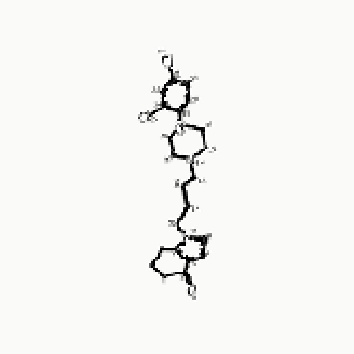 O=C1CCCc2c1ccn2CCCCN1CCN(c2ccc(Cl)cc2Cl)CC1